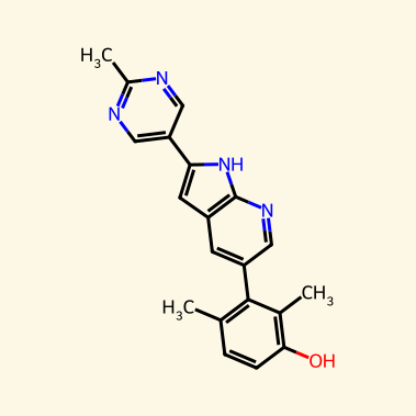 Cc1ncc(-c2cc3cc(-c4c(C)ccc(O)c4C)cnc3[nH]2)cn1